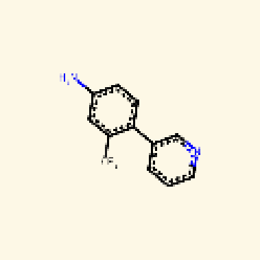 Nc1ccc(-c2cccnc2)c(C(F)(F)F)c1